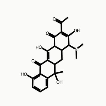 CC(=O)C1=C(O)C(N(C)C)C2CC3C(=C(O)C2C1=O)C(=O)c1c(O)cccc1C3(C)O